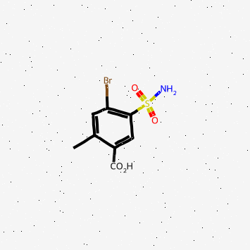 Cc1cc(Br)c(S(N)(=O)=O)cc1C(=O)O